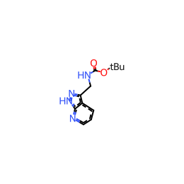 CC(C)(C)OC(=O)NCc1n[nH]c2ncccc12